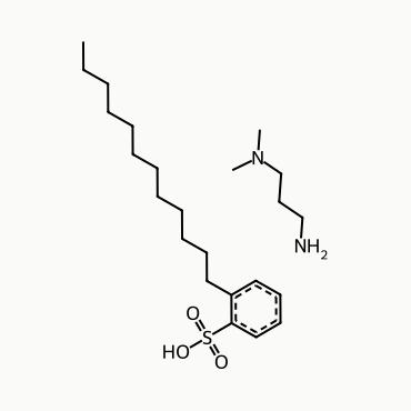 CCCCCCCCCCCCc1ccccc1S(=O)(=O)O.CN(C)CCCN